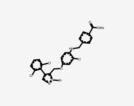 COC(=O)c1ccc(CNc2ccc(OCc3c(-c4c(Cl)cccc4Cl)cnn3C(C)C)cc2Cl)cc1